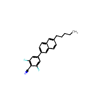 CCCCCc1ccc2cc(-c3cc(F)c(C#N)c(F)c3)ccc2c1